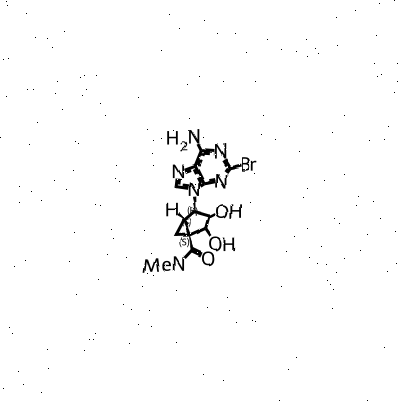 CNC(=O)[C@@]12C[C@@H]1[C@@H](n1cnc3c(N)nc(Br)nc31)C(O)C2O